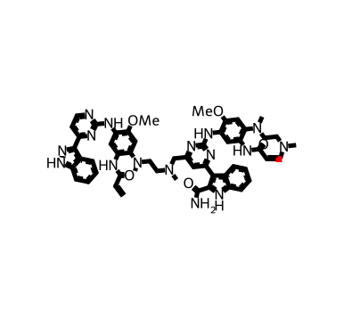 C=CC(=O)Nc1cc(Nc2nc(CN(C)CCN(C)c3cc(OC)c(Nc4nccc(-c5n[nH]c6ccccc56)n4)cc3NC(=O)C=C)cc(-c3c(C(N)=O)[nH]c4ccccc34)n2)c(OC)cc1N(C)CCN(C)C